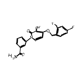 NC(=O)c1cccc(-n2[c]cc(OCc3ccc(F)cc3F)c(Br)c2=O)c1